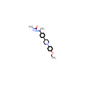 CCOc1ccc(N2CCC(c3ccc([C@H](C)NC(=O)NC)cc3)CC2)cc1